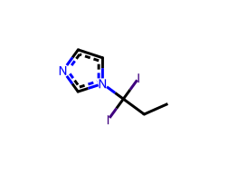 CCC(I)(I)n1ccnc1